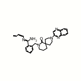 C=C/C=C\N=C(/N)c1ccccc1CN1CCCC2(CCN(c3cnc4ccccc4n3)CC2)C1=O